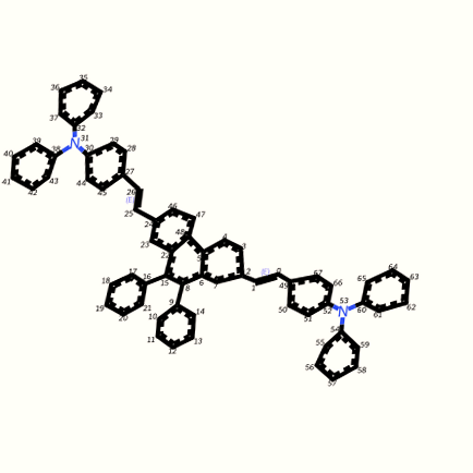 C(=C\c1ccc2c(c1)c(-c1ccccc1)c(-c1ccccc1)c1cc(/C=C/c3ccc(N(c4ccccc4)c4ccccc4)cc3)ccc12)/c1ccc(N(c2ccccc2)c2ccccc2)cc1